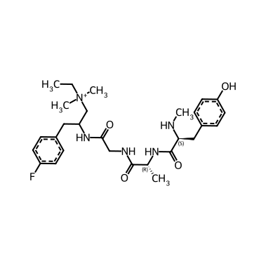 CC[N+](C)(C)CC(Cc1ccc(F)cc1)NC(=O)CNC(=O)[C@@H](C)NC(=O)[C@H](Cc1ccc(O)cc1)NC